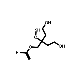 C=C(CC)OCC(CCO)(CCO)OS